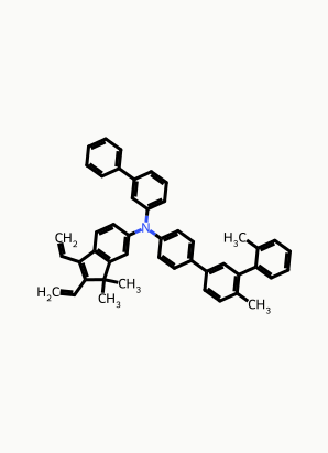 C=CC1=C(C=C)C(C)(C)c2cc(N(c3ccc(-c4ccc(C)c(-c5ccccc5C)c4)cc3)c3cccc(-c4ccccc4)c3)ccc21